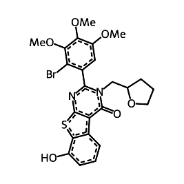 COc1cc(-c2nc3sc4c(O)cccc4c3c(=O)n2CC2CCCO2)c(Br)c(OC)c1OC